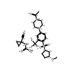 CO[C@@H]1CC[C@@H](S(=O)(=O)c2ccc(N3CCN(C(C)=O)CC3)cc2C(F)(F)F)C1.N#CC1(NC(=O)O)CC1